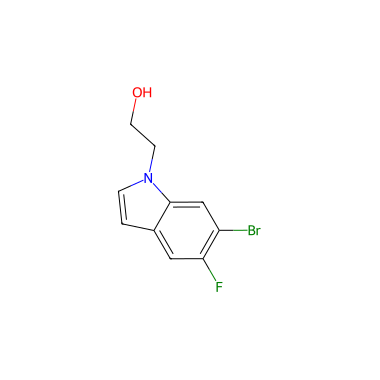 OCCn1ccc2cc(F)c(Br)cc21